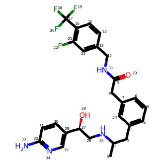 CC(Cc1cccc(CC(=O)NCc2ccc(C(F)(F)F)c(F)c2)c1)NC[C@H](O)c1ccc(N)nc1